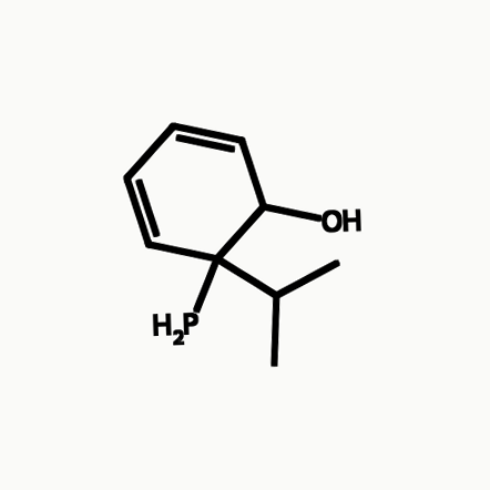 CC(C)C1(P)C=CC=CC1O